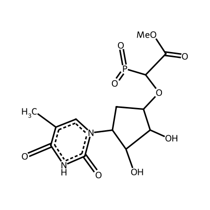 COC(=O)C(OC1CC(n2cc(C)c(=O)[nH]c2=O)C(O)C1O)P(=O)=O